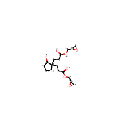 O=C(CCC1(CCC(=O)OCC2CO2)CCCC1=O)OCC1CO1